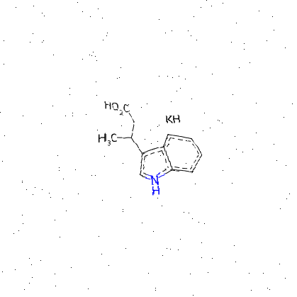 CC(CC(=O)O)c1c[nH]c2ccccc12.[KH]